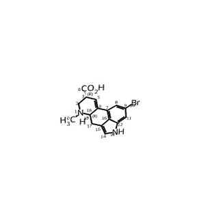 CN1C[C@H](C(=O)O)C=C2c3cc(Br)cc4[nH]cc(c34)C[C@H]21